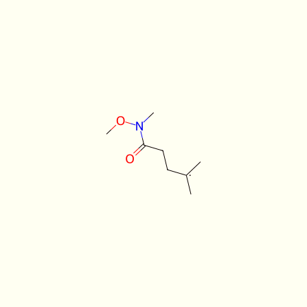 CON(C)C(=O)CC[C](C)C